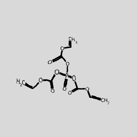 C=COC(=O)OP(=O)(OC(=O)OC=C)OC(=O)OC=C